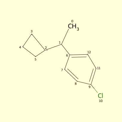 CC([C]1CCC1)c1ccc(Cl)cc1